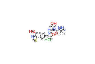 C[C@H](NC(=O)[C@@H]1C[C@@H](O)CN1C(=O)C(N)C(C)(C)C)c1ccc(-c2scnc2CO)cc1.Cl